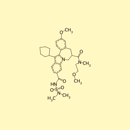 COCCN(C)C(=O)C1Cc2cc(OC)ccc2-c2c(C3CCCCC3)c3ccc(C(=O)NS(=O)(=O)N(C)C)cc3n2C1